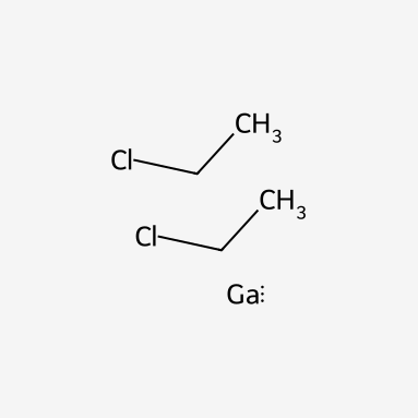 CCCl.CCCl.[Ga]